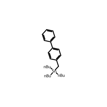 CCC[CH2][Sn]([CH2]CCC)([CH2]CCC)[CH2]c1ccc(-c2ccccc2)cc1